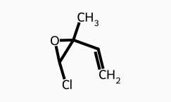 C=CC1(C)OC1Cl